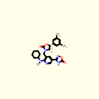 CCN(c1ncc(-c2noc(=O)[nH]2)cc1CN1C(=O)O[C@H](c2cc(C(F)(F)F)cc(C(F)(F)F)c2)[C@@H]1C)C1CCCCC1